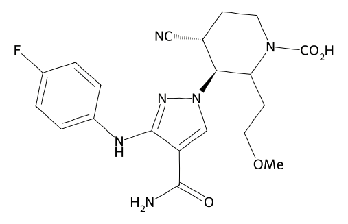 COCCC1[C@@H](n2cc(C(N)=O)c(Nc3ccc(F)cc3)n2)[C@H](C#N)CCN1C(=O)O